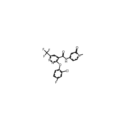 Cn1ccc(NC(=O)c2cc(C(F)(F)F)nnc2Oc2ccc(F)cc2Cl)cc1=O